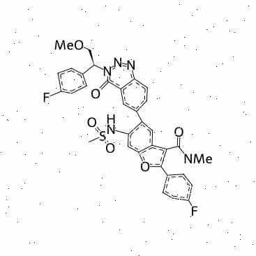 CNC(=O)c1c(-c2ccc(F)cc2)oc2cc(NS(C)(=O)=O)c(-c3ccc4nnn([C@H](COC)c5ccc(F)cc5)c(=O)c4c3)cc12